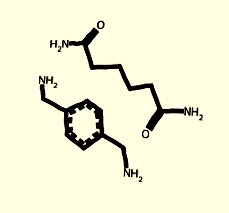 NC(=O)CCCCC(N)=O.NCc1ccc(CN)cc1